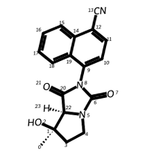 C[C@@]1(O)CCN2C(=O)N(c3ccc(C#N)c4ccccc34)C(=O)[C@@H]21